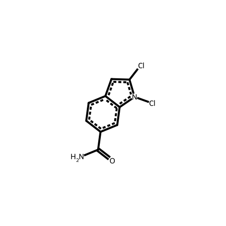 NC(=O)c1ccc2cc(Cl)n(Cl)c2c1